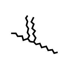 CCCCCCCCC([CH]C(CCCCC)CCCCCCC)CCCCCCC